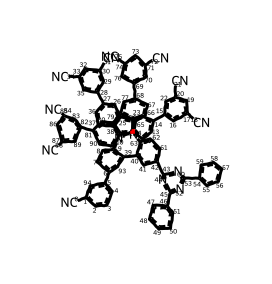 N#Cc1cccc(-c2ccc(-n3c4ccc(-c5cc(C#N)cc(C#N)c5)cc4c4cc(-c5cc(C#N)cc(C#N)c5)ccc43)c(-c3cc(-c4nc(-c5ccccc5)nc(-c5ccccc5)n4)ccc3-n3c4ccc(-c5cc(C#N)cc(C#N)c5)cc4c4cc(-c5cc(C#N)cc(C#N)c5)ccc43)c2)c1